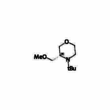 COC[C@@H]1COCCN1C(C)(C)C